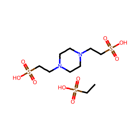 CCS(=O)(=O)O.O=S(=O)(O)CCN1CCN(CCS(=O)(=O)O)CC1